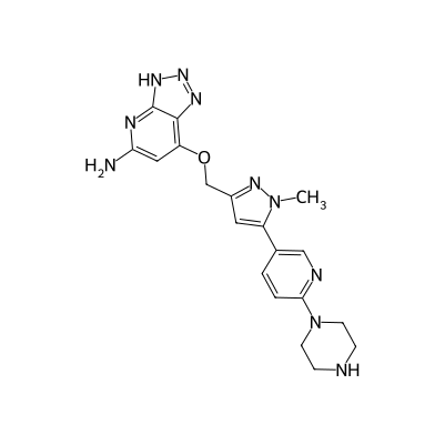 Cn1nc(COc2cc(N)nc3[nH]nnc23)cc1-c1ccc(N2CCNCC2)nc1